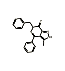 Cc1[nH]nc2c(=O)n(Cc3ccccc3)nc(-c3ccccc3)c12